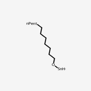 CCCCCCCCCCCC[O][SnH]